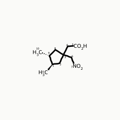 C[C@@H]1CC(CC(=O)O)(C[N+](=O)[O-])C[C@H]1C